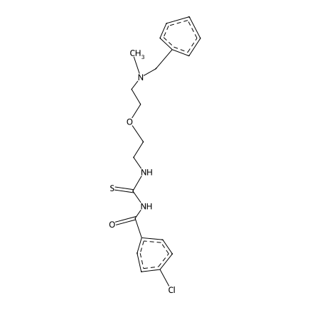 CN(CCOCCNC(=S)NC(=O)c1ccc(Cl)cc1)Cc1ccccc1